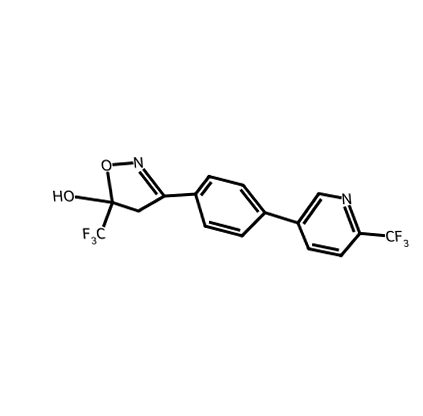 OC1(C(F)(F)F)CC(c2ccc(-c3ccc(C(F)(F)F)nc3)cc2)=NO1